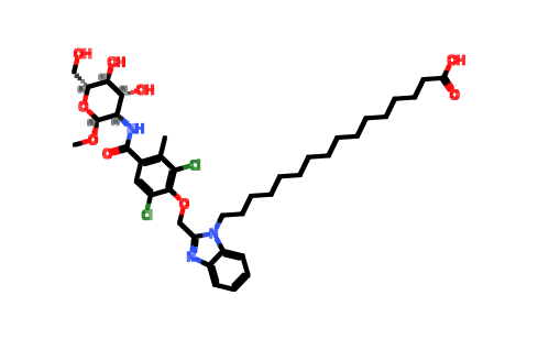 CO[C@H]1O[C@H](CO)[C@@H](O)[C@H](O)[C@H]1NC(=O)c1cc(Cl)c(OCc2nc3ccccc3n2CCCCCCCCCCCCCCCC(=O)O)c(Cl)c1C